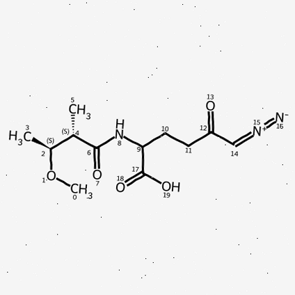 CO[C@@H](C)[C@H](C)C(=O)NC(CCC(=O)C=[N+]=[N-])C(=O)O